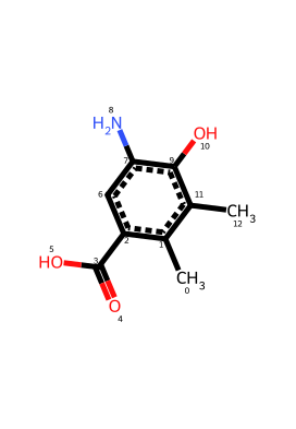 Cc1c(C(=O)O)cc(N)c(O)c1C